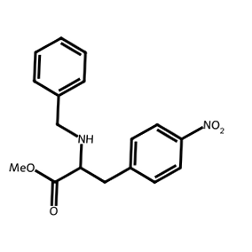 COC(=O)C(Cc1ccc([N+](=O)[O-])cc1)NCc1ccccc1